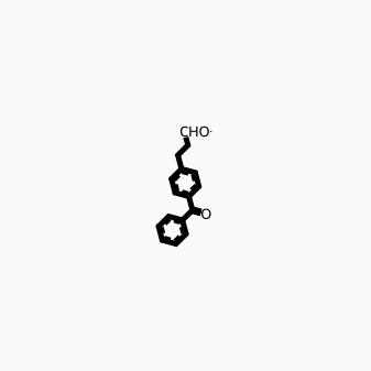 O=[C]CCc1ccc(C(=O)c2ccccc2)cc1